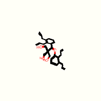 C=CCc1cccc(OC(c2cccc(CC=C)c2CC=C)C(CO)(CO)CO)c1CC=C